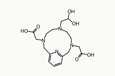 O=C(O)CN1CCN(CC(O)O)CCN(CC(=O)O)Cc2cccc(n2)C1